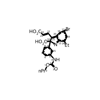 CCCOC(=O)Nc1cccc(C2(C(=O)O)N=c3c(CC)cc(Br)cc3=C2C=CC(=O)O)c1